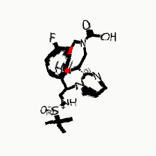 CC(C)(C)[S@+]([O-])NCC(c1ccc(F)cc1)N1C=CC=N[C@H]1C1CN(C(=O)O)CCN1